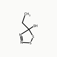 CCC1(S)N=NSS1